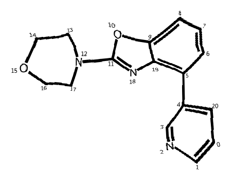 c1cncc(-c2cccc3oc(N4CCOCC4)nc23)c1